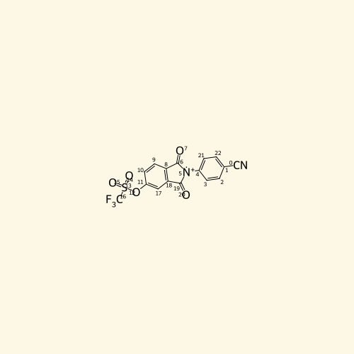 N#Cc1ccc([N+]2C(=O)c3ccc(OS(=O)(=O)C(F)(F)F)cc3C2=O)cc1